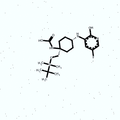 CC(C)(C)[Si](C)(C)OC[C@]1(NC(=O)O)CC[C@H](Nc2cc(F)cnc2O)CC1